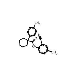 Cc1ccc(C2(C(=O)Oc3ccc(C)cc3C#N)CCCCC2)cc1